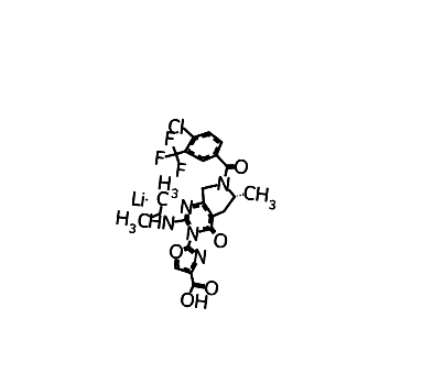 CC(C)Nc1nc2c(c(=O)n1-c1nc(C(=O)O)co1)C[C@@H](C)N(C(=O)c1ccc(Cl)c(C(F)(F)F)c1)C2.[Li]